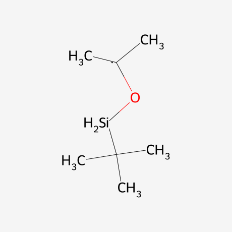 C[C](C)O[SiH2]C(C)(C)C